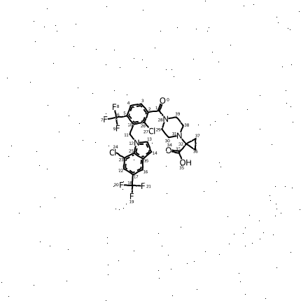 O=C(c1ccc(C(F)(F)F)c(Cn2ccc3cc(C(F)(F)F)cc(Cl)c32)c1Cl)N1CCN(C2(C(=O)O)CC2)CC1